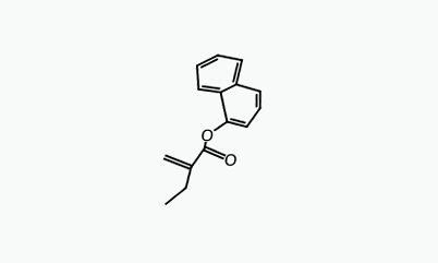 C=C(CC)C(=O)Oc1cccc2ccccc12